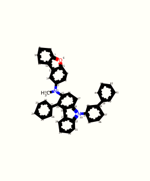 CN(c1ccc2oc3ccccc3c2c1)c1ccc2c(c1-c1ccccc1)c1ccccc1n2-c1cccc(-c2ccccc2)c1